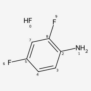 F.Nc1ccc(F)cc1F